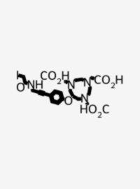 O=C(O)CN1CCN(CC(=O)O)CC(Oc2ccc(C#CCNC(=O)CI)cc2)CN(CC(=O)O)CC1